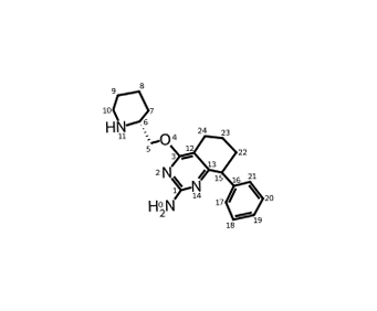 Nc1nc(OC[C@H]2CCCCN2)c2c(n1)C(c1ccccc1)CCC2